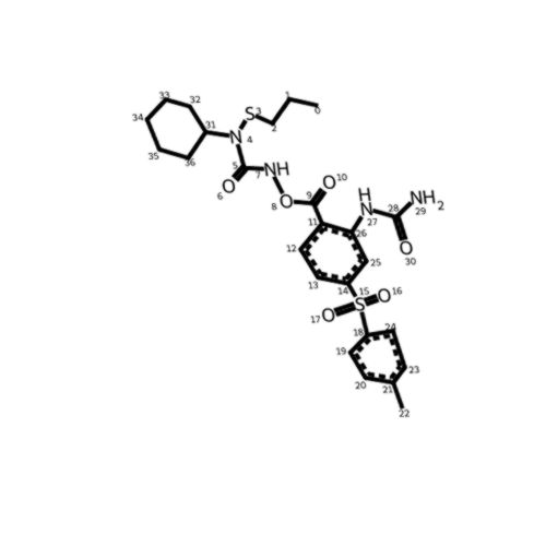 CCCSN(C(=O)NOC(=O)c1ccc(S(=O)(=O)c2ccc(C)cc2)cc1NC(N)=O)C1CCCCC1